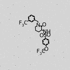 O=C1C(NS(=O)(=O)c2ccc(OC(F)(F)F)cc2)CCCN1Cc1cccc(C(F)(F)F)c1